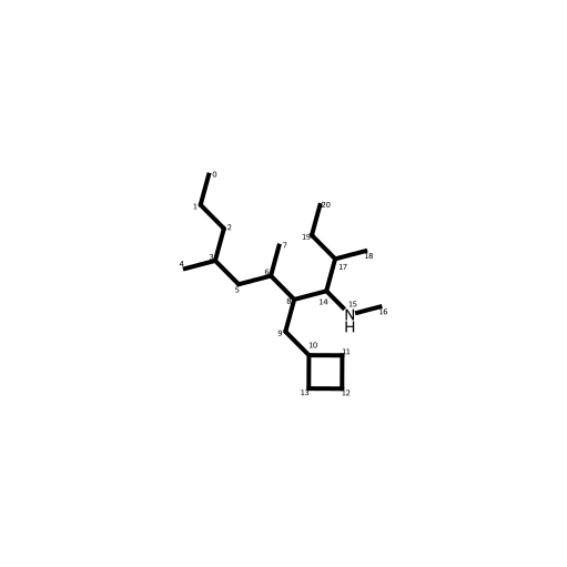 CCCC(C)CC(C)C(CC1CCC1)C(NC)C(C)CC